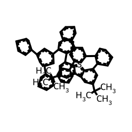 CC(C)(C)c1cc(-c2ccccc2-c2cc(-c3ccccc3)cc(-c3ccccc3)c2)c2sc3c(-c4ccccc4-c4cc(-c5ccccc5)cc(-c5ccccc5)c4)cc(C(C)(C)C)cc3c2c1